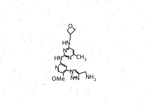 COc1cnc(Nc2nc(C)cc(NCC3COC3)n2)cc1-n1cc(CN)nn1